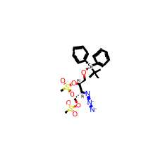 CC(C)(C)[Si](OC[C@H](OS(C)(=O)=O)[C@@H](COS(C)(=O)=O)N=[N+]=[N-])(c1ccccc1)c1ccccc1